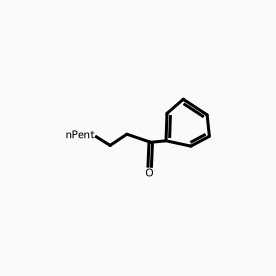 [CH2]CCCCCCC(=O)c1ccccc1